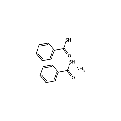 N.O=C(S)c1ccccc1.O=C(S)c1ccccc1